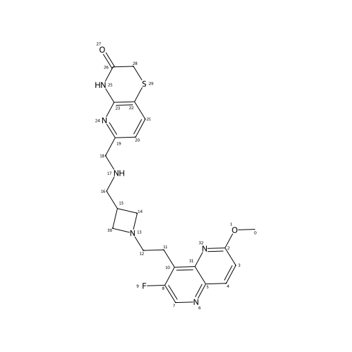 COc1ccc2ncc(F)c(CCN3CC(CNCc4ccc5c(n4)NC(=O)CS5)C3)c2n1